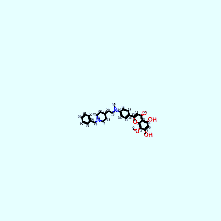 COc1c(O)cc(O)c2c(=O)cc(-c3ccc(N(C)CCC4CCN(Cc5ccccc5)CC4)cc3)oc12